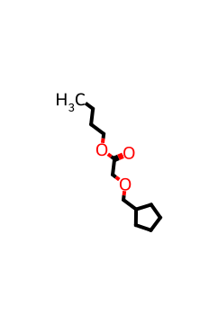 CCCCOC(=O)COCC1CCCC1